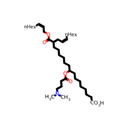 CCCCCC/C=C\COC(=O)C(C/C=C\CCCCCC)CCCCCCC(CCCCCCCC(=O)O)OC(=O)CCCN(C)C